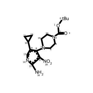 CC(C)(C)OC(=O)N1CCN(c2c(C3CC3)cnc(N)c2[N+](=O)[O-])CC1